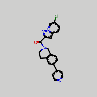 O=C(c1cc2ccc(Cl)cn2n1)N1CCc2cc(-c3ccncc3)ccc2C1